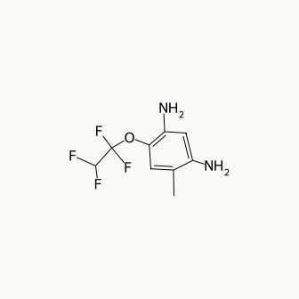 Cc1cc(OC(F)(F)C(F)F)c(N)cc1N